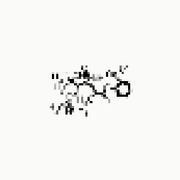 C[C@@H](C(=O)Oc1ccccc1[N+](=O)[O-])[C@H]1NC(=O)[C@H]1[C@@H](CO[SiH](C)C)C(C)(C)C